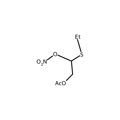 CCSC(COC(C)=O)O[N+](=O)[O-]